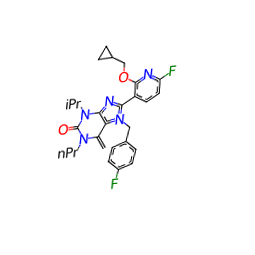 C=C1c2c(nc(-c3ccc(F)nc3OCC3CC3)n2Cc2ccc(F)cc2)N(C(C)C)C(=O)N1CCC